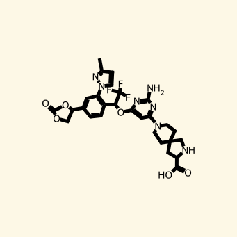 Cc1ccn(-c2cc(C3COC(=O)O3)ccc2C(Oc2cc(N3CCC4(CC3)CNC(C(=O)O)C4)nc(N)n2)C(F)(F)F)n1